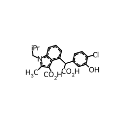 Cc1c(C(=O)O)c2c(C(C(=O)O)c3ccc(Cl)c(O)c3)cccc2n1CC(C)C